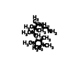 CC(CN(C)C)N(C)C.CC(NCCN)C(C)(C)N(C)C